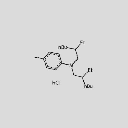 CCCCC(CC)CN(CC(CC)CCCC)c1ccc(C)cc1.Cl